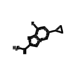 CNc1cn2cc(C3CC3)cc(F)c2n1